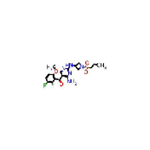 CCCS(=O)(=O)N1CC(Nc2ncc(C(=O)c3c(OC)ccc(F)c3F)c(N)n2)C1